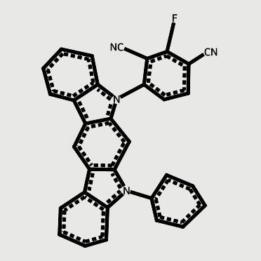 N#Cc1ccc(-n2c3ccccc3c3cc4c5ccccc5n(-c5ccccc5)c4cc32)c(C#N)c1F